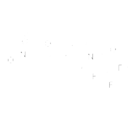 COc1c(C2CCN(C(=O)C(F)(F)F)C2)cccc1[N+](=O)[O-]